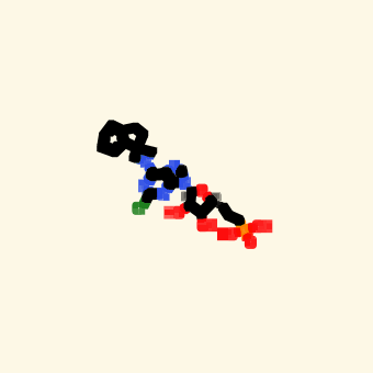 O=P(O)(O)CCC[C@H]1O[C@@H](n2cnc3c(N4CC5(CCc6ccccc65)C4)nc(Cl)nc32)C(O)C1O